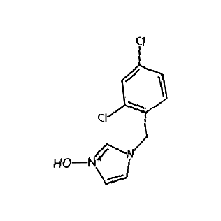 O[n+]1ccn(Cc2ccc(Cl)cc2Cl)c1